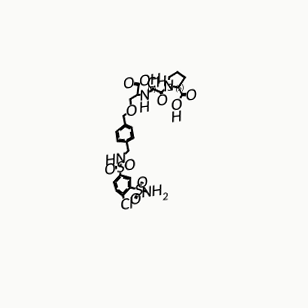 C[C@H](NC(COCc1ccc(CNS(=O)(=O)c2ccc(Cl)c(S(N)(=O)=O)c2)cc1)C(=O)O)C(=O)N1CCC[C@H]1C(=O)O